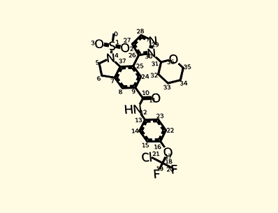 CS(=O)(=O)N1CCc2cc(C(=O)Nc3ccc(OC(F)(F)Cl)cc3)cc(-c3ccnn3C3CCCCO3)c21